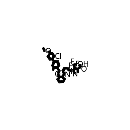 CCOc1ccc(-c2ccc(COc3ccccc3-c3cccc(-n4ncc(C(=O)O)c4C(F)(F)F)n3)c(C)c2)c(Cl)c1